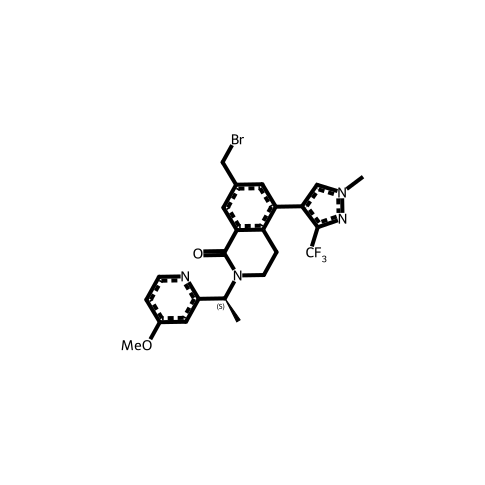 COc1ccnc([C@H](C)N2CCc3c(cc(CBr)cc3-c3cn(C)nc3C(F)(F)F)C2=O)c1